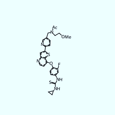 COCCN(Cc1ccc(-c2cc3nccc(Oc4ccc(NC(=S)NC5CC5)cc4F)c3s2)nc1)C(C)=O